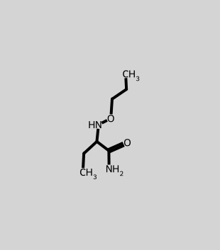 CCCONC(CC)C(N)=O